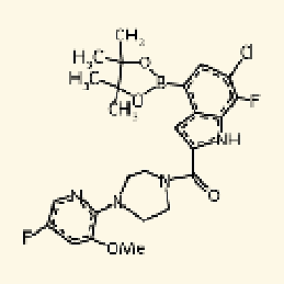 COc1cc(F)cnc1N1CCN(C(=O)c2cc3c(B4OC(C)(C)C(C)(C)O4)cc(Cl)c(F)c3[nH]2)CC1